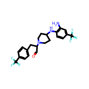 Nc1cc(C(F)(F)F)ccc1NC1CCN(C(C=O)Cc2ccc(C(F)(F)F)cc2)CC1